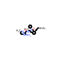 CC(=O)NCC#Cc1cccc2cc(C(C)NC(=O)c3c(N)nc4ccc(C)nn34)n(-c3ccccc3)c(=O)c12